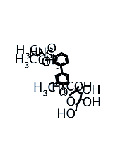 Cc1cc(-c2cccc(S(=O)(=O)NC(C)(C)C)c2)ccc1O[C@H]1O[C@H](CO)[C@@H](O)[C@H](O)[C@]1(C)O